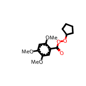 COc1cc(OC)c(C(=O)OO[C]2CCCC2)cc1OC